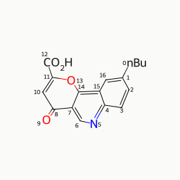 CCCCc1ccc2ncc3c(=O)cc(C(=O)O)oc3c2c1